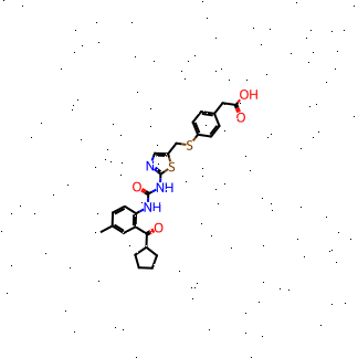 Cc1ccc(NC(=O)Nc2ncc(CSc3ccc(CC(=O)O)cc3)s2)c(C(=O)C2CCCC2)c1